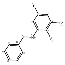 Fc1cc(Br)c(Br)c(NCc2ccccc2)c1